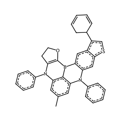 Cc1cc2c3c(c1)N(c1ccccc1)c1cc4scc(C5C=CC=CC5)c4cc1B3C1=C(CCO1)N2c1ccccc1